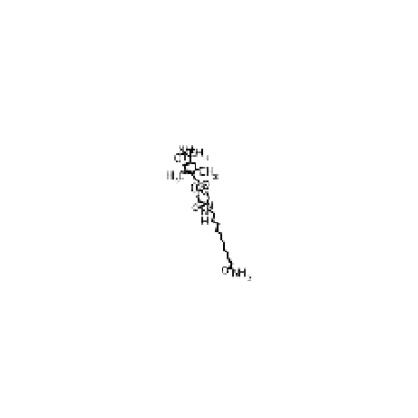 Cc1cc(N(C)C(N)=O)cc(C)c1CCS(=O)(=O)N1CCC2(CC1)N=C(CCCCCCCCCCCC(N)=O)NC2=O